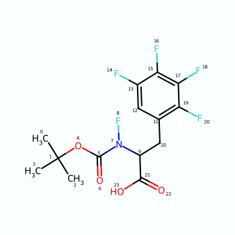 CC(C)(C)OC(=O)N(F)C(Cc1cc(F)c(F)c(F)c1F)C(=O)O